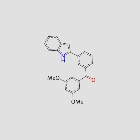 COc1cc(OC)cc(C(=O)c2cccc(-c3cc4ccccc4[nH]3)c2)c1